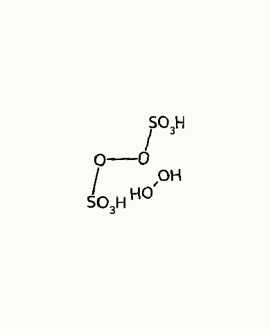 O=S(=O)(O)OOS(=O)(=O)O.OO